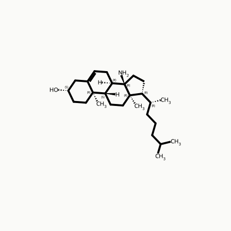 CC(C)CCC[C@@H](C)[C@H]1CC[C@@]2(N)[C@@H]3CC=C4C[C@@H](O)CC[C@]4(C)[C@H]3CC[C@]12C